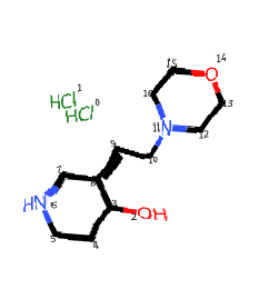 Cl.Cl.OC1CCNCC1=CCN1CCOCC1